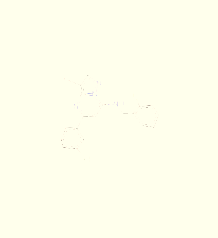 Fc1ccccc1CNc1cc(-c2cccc(Cl)c2)nc2c(Br)cnn12